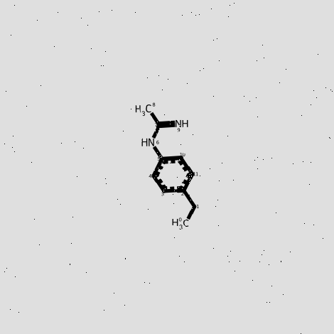 CCc1ccc(NC(C)=N)cc1